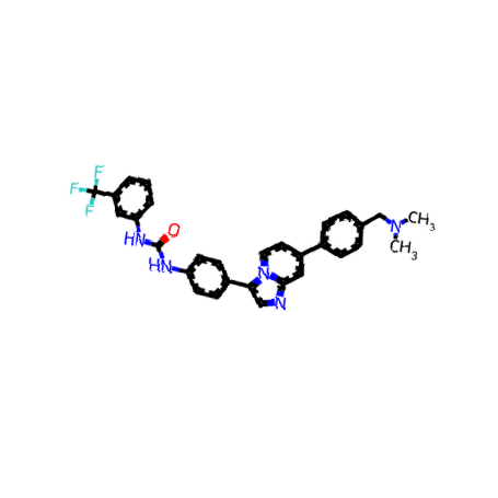 CN(C)Cc1ccc(-c2ccn3c(-c4ccc(NC(=O)Nc5cccc(C(F)(F)F)c5)cc4)cnc3c2)cc1